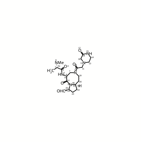 CN[C@@H](C)C(=O)N[C@H]1CN(C(=O)CN2CCNC(=O)C2)CC[C@H]2CC[C@@H](C=O)N2C1=O